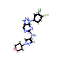 Fc1ccc(-n2nnc3cnc(Nc4cnn(C5CCOCC5)c4)nc32)cc1Cl